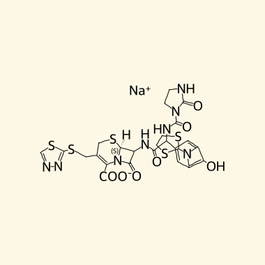 O=C([O-])C1=C(CSc2nncs2)CS[C@H]2C(NC(=O)C(NC(=O)N3CCNC3=O)c3cc4c(O)c(c3)N4C3SCCS3)C(=O)N12.[Na+]